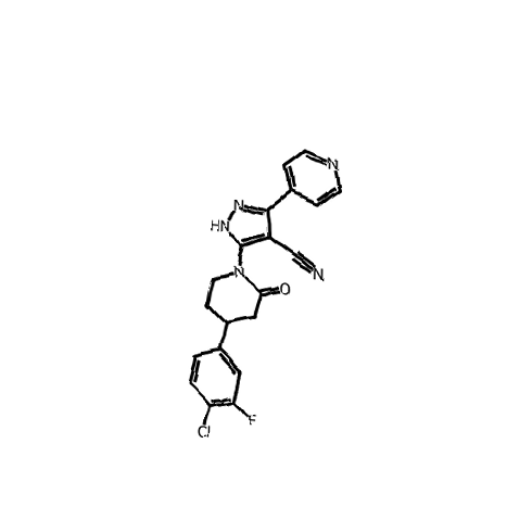 N#Cc1c(-c2ccncc2)n[nH]c1N1CCC(c2ccc(Cl)c(F)c2)CC1=O